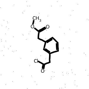 COC(=O)Cc1cccc(CC(=O)Cl)c1